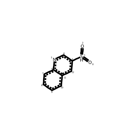 O=[SH](=O)c1cnc2ccccc2c1